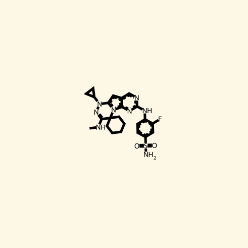 CNC1=NN(C2CC2)c2cc3cnc(Nc4ccc(S(N)(=O)=O)cc4F)nc3n2C12CCCCC2